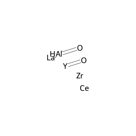 [Ce].[La].[O]=[AlH].[O]=[Y].[Zr]